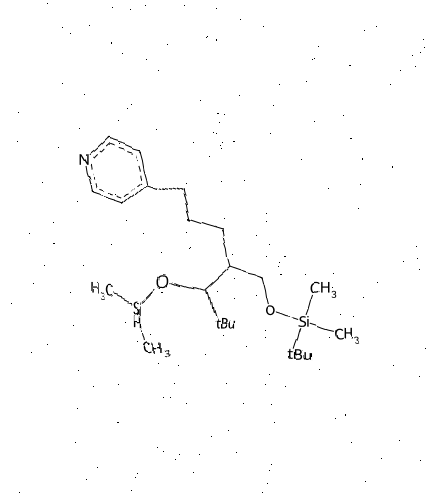 C[SiH](C)OC(C(CCCc1ccncc1)CO[Si](C)(C)C(C)(C)C)C(C)(C)C